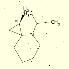 CC(C)N1CCCCC12C[C@H]2C